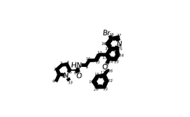 CC1CCC[C@@H](C(=O)NCC/C=C/c2c(OCc3ccccc3)ccc3ncc(Br)cc23)N1C